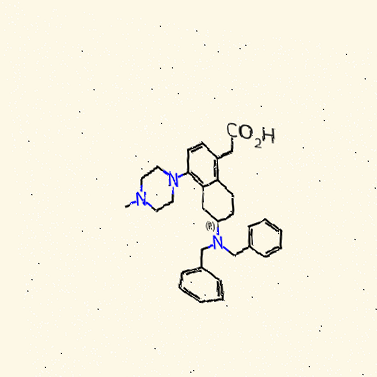 CN1CCN(c2ccc(CC(=O)O)c3c2C[C@H](N(Cc2ccccc2)Cc2ccccc2)CC3)CC1